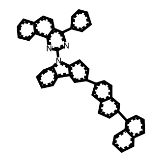 c1ccc(-c2nc(-n3c4ccccc4c4cc(-c5ccc6cc(-c7cccc8ccccc78)ccc6c5)ccc43)nc3c2ccc2ccccc23)cc1